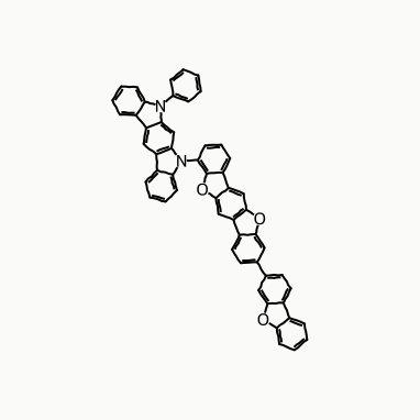 c1ccc(-n2c3ccccc3c3cc4c5ccccc5n(-c5cccc6c5oc5cc7c(cc56)oc5cc(-c6ccc8c(c6)oc6ccccc68)ccc57)c4cc32)cc1